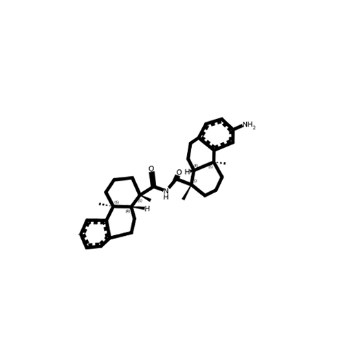 C[C@]1(C(=O)NC(=O)[C@@]2(C)CCC[C@]3(C)c4cc(N)ccc4CC[C@@H]23)CCC[C@]2(C)c3c[c]ccc3CC[C@@H]12